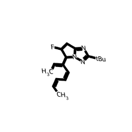 C\C=C/C=C\C(=C/C)C1C(F)Cc2nc(C(C)(C)C)nn21